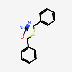 N.N#CO.c1ccc(CSCc2ccccc2)cc1